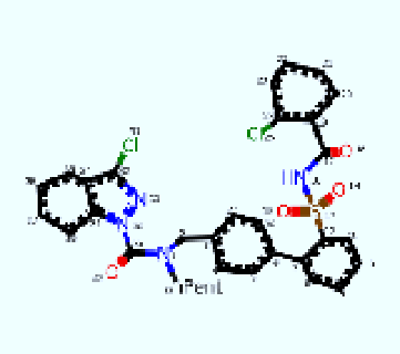 CCCCCN(Cc1ccc(-c2ccccc2S(=O)(=O)NC(=O)c2ccccc2Cl)cc1)C(=O)n1nc(Cl)c2ccccc21